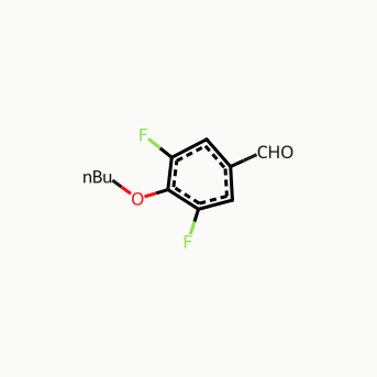 CCCCOc1c(F)cc(C=O)cc1F